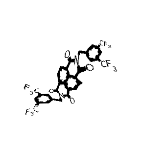 O=C1c2ccc3c4c(ccc(c24)C(=O)N1Cc1cc(C(F)(F)F)cc(C(F)(F)F)c1)C(=O)N(Cc1cc(C(F)(F)F)cc(C(F)(F)F)c1)C3=O